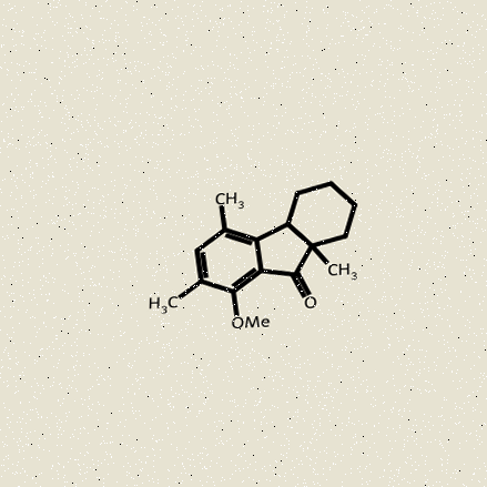 COc1c(C)cc(C)c2c1C(=O)C1(C)CCCCC21